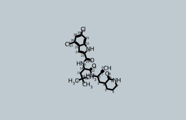 C#CC(CC1CCCNC1=O)NC(=O)C(CC(C)(C)C)NC(=O)c1cc2c(Cl)cc(Cl)cc2[nH]1